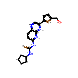 OCc1ccc(-c2cnc3ccc(NC(=S)NC4CCCC4)nc3n2)s1